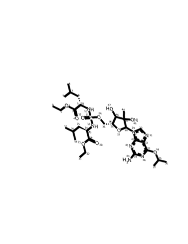 CCOC(=O)[C@H](CC(C)C)NP(=O)(N[C@H](CC(C)C)C(=O)OCC)OC[C@H]1OC(n2cnc3c(OC(C)C)nc(N)nc32)C(C)(O)C1O